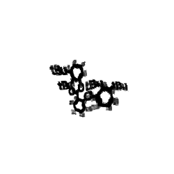 CC(C)(C)c1cccc(OC(=O)c2ccccc2Oc2cccc(C(C)(C)C)c2C(C)(C)C)c1C(C)(C)C